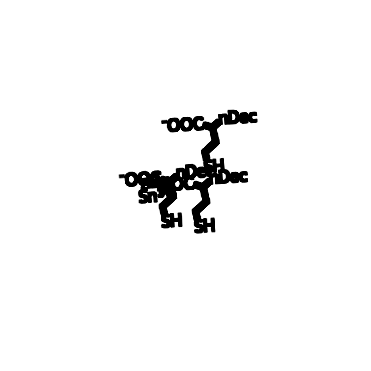 CCCCCCCCCCC(CCS)C(=O)[O-].CCCCCCCCCCC(CCS)C(=O)[O-].CCCCCCCCCCC(CCS)C(=O)[O-].CCC[CH2][Sn+3]